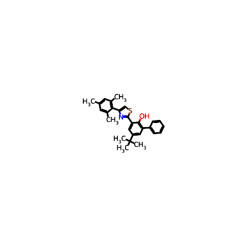 Cc1cc(C)c(-c2csc(-c3cc(C(C)(C)C)cc(-c4ccccc4)c3O)n2)c(C)c1